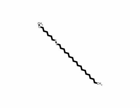 CCCCCCCCCCCCCCCCCCCSSCCCCCCOC